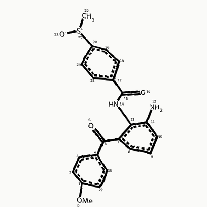 COc1ccc(C(=O)c2cccc(N)c2NC(=O)c2ccc([S+](C)[O-])cc2)cc1